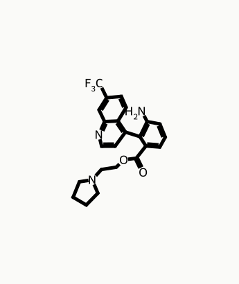 Nc1cccc(C(=O)OCCN2CCCC2)c1-c1ccnc2cc(C(F)(F)F)ccc12